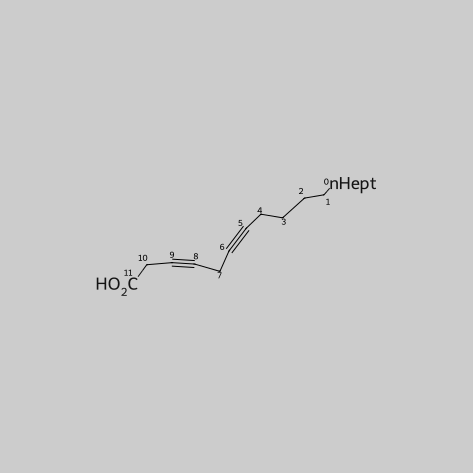 CCCCCCCCCCCC#CCC#CCC(=O)O